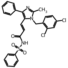 Cc1nc(-c2ccccc2)c(/C=C/C(=O)NS(=O)(=O)c2ccccc2)n1Cc1ccc(Cl)cc1Cl